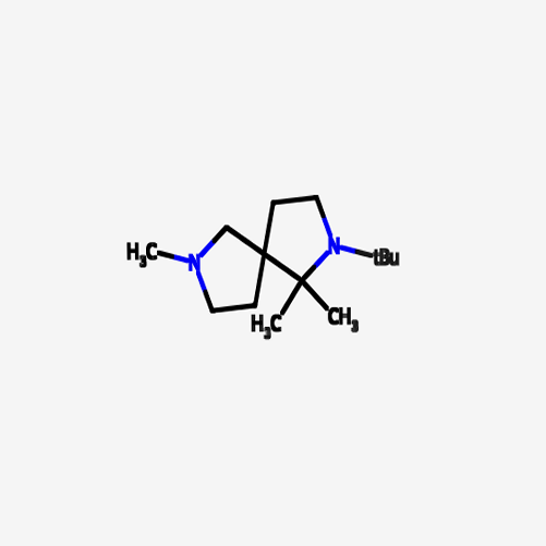 CN1CCC2(CCN(C(C)(C)C)C2(C)C)C1